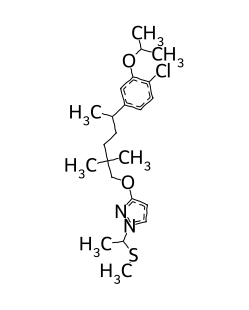 CSC(C)n1ccc(OCC(C)(C)CCC(C)c2ccc(Cl)c(OC(C)C)c2)n1